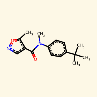 Cc1oncc1C(=O)N(C)c1ccc(C(C)(C)C)cc1